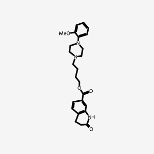 COc1ccccc1N1CCN(CCCCOC(=O)c2ccc3c(c2)NC(=O)CC3)CC1